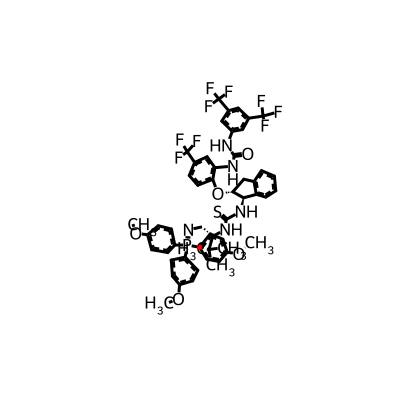 COc1ccc(P(=NC[C@H](NC(=S)N[C@@H]2c3ccccc3C[C@H]2Oc2ccc(C(F)(F)F)cc2NC(=O)Nc2cc(C(F)(F)F)cc(C(F)(F)F)c2)C(C)(C)C)(c2ccc(OC)cc2)c2ccc(OC)cc2)cc1